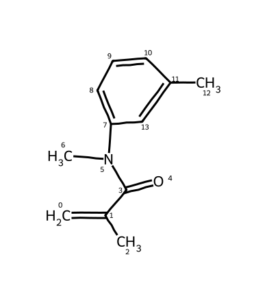 C=C(C)C(=O)N(C)c1cccc(C)c1